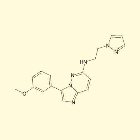 COc1cccc(-c2cnc3ccc(NCCn4cccn4)nn23)c1